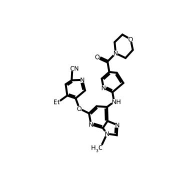 CCc1cc(C#N)ncc1Oc1cc(Nc2ccc(C(=O)N3CCOCC3)cn2)c2ncn(C)c2n1